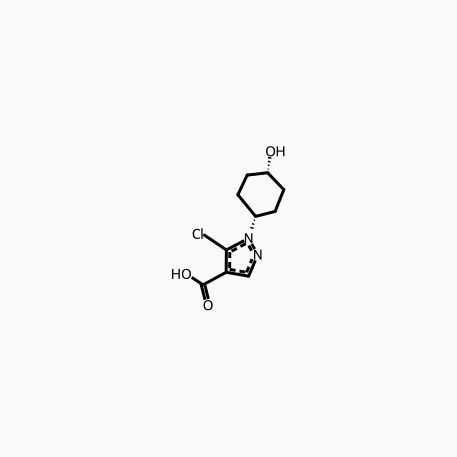 O=C(O)c1cnn([C@H]2CC[C@@H](O)CC2)c1Cl